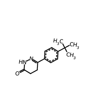 CC(C)(C)c1ccc(C2=NNC(=O)CC2)cc1